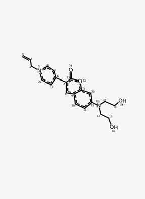 C=CC[n+]1ccc(-c2cc3ccc(N(CCO)CCO)cc3oc2=O)cc1